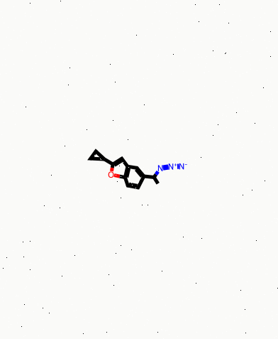 CC(N=[N+]=[N-])c1ccc2oc(C3CC3)cc2c1